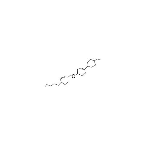 CCCCCC1C=CC(COc2ccc(C3CCC(CC)CC3)cc2)CC1